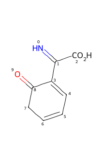 N=C(C(=O)O)C1=CC=CCC1=O